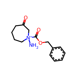 N[N+]1(C(=O)OCc2ccccc2)CCCCC(=O)C1